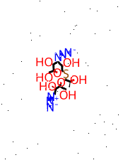 C[C@H](O)[C@@H](OC(CO)[C@H](O)CN=[N+]=[N-])S[C@@H]1OC(CO)[C@H](O)C(N=[N+]=[N-])C1O